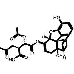 CC(=O)C[C@H](C(=O)O)[C@H](OC(C)=O)C(=O)OC1=CC[C@@]2(O)[C@@H]3CCC[C@@]24c2c(ccc(O)c2O[C@@H]14)C3